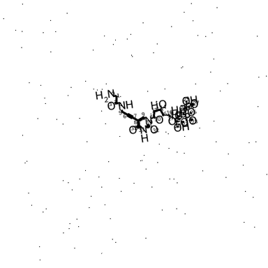 NCC(=O)NCC#Cc1cn([C@H]2C[C@H](O)[C@@H](COP(=O)(O)OP(=O)(O)OP(=O)(O)O)O2)c(=O)[nH]c1=O